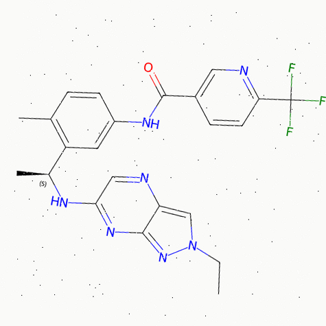 CCn1cc2ncc(N[C@@H](C)c3cc(NC(=O)c4ccc(C(F)(F)F)nc4)ccc3C)nc2n1